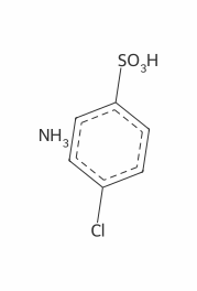 N.O=S(=O)(O)c1ccc(Cl)cc1